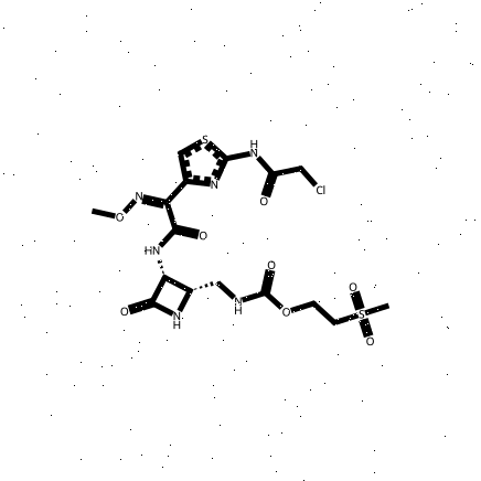 CO/N=C(\C(=O)N[C@H]1C(=O)N[C@H]1CNC(=O)OCCS(C)(=O)=O)c1csc(NC(=O)CCl)n1